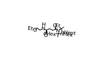 CCCCCCCC(C)(CC)N(C(=O)CCC(=O)NCCOCC)C(C)(CCCCCC)CCCCCC